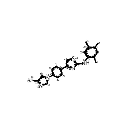 Cc1cc(C)c(Nc2nc(-c3ccc(-n4cnc(Br)c4)cc3)cs2)cc1C